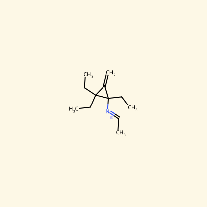 C=C1C(CC)(CC)C1(CC)/N=C/C